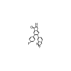 Cn1cc2ccc(-c3cc4c(cc3-c3ccc(F)cc3)C(=O)NC4)cc2n1